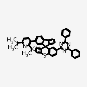 CC(C)c1ccc(-c2ccc3c(c2)C2(c4ccccc4Sc4ccc(-c5nc(-c6ccccc6)nc(-c6ccccc6)n5)cc42)c2ccccc2-3)c(C(C)C)n1